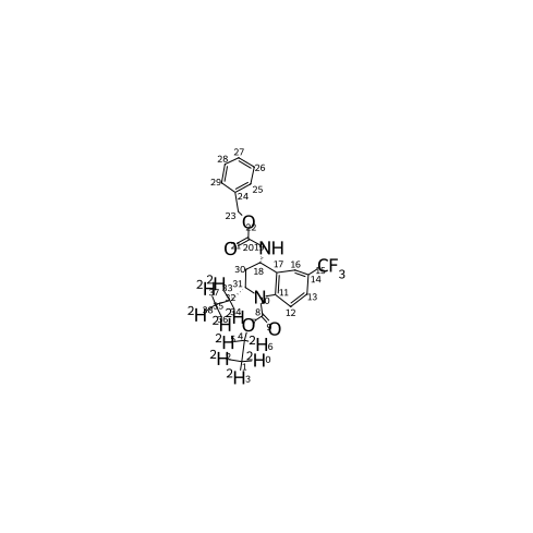 [2H]C([2H])([2H])C([2H])([2H])OC(=O)N1c2ccc(C(F)(F)F)cc2[C@@H](NC(=O)OCc2ccccc2)C[C@H]1C([2H])([2H])C([2H])([2H])[2H]